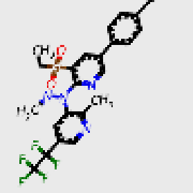 C=NN(c1cc(C(F)(F)C(F)(F)F)cnc1C)c1ncc(-c2ccc(C3CC3)cc2)cc1S(=O)(=O)CC